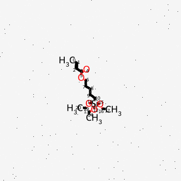 CC=CC(=O)OCCCCC[Si](OCC)(OCC)OCC